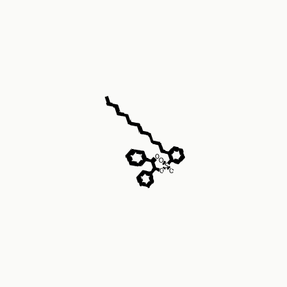 CCCCCCCCCCCCc1ccccc1S(=O)(=O)OC(C(=O)c1ccccc1)c1ccccc1